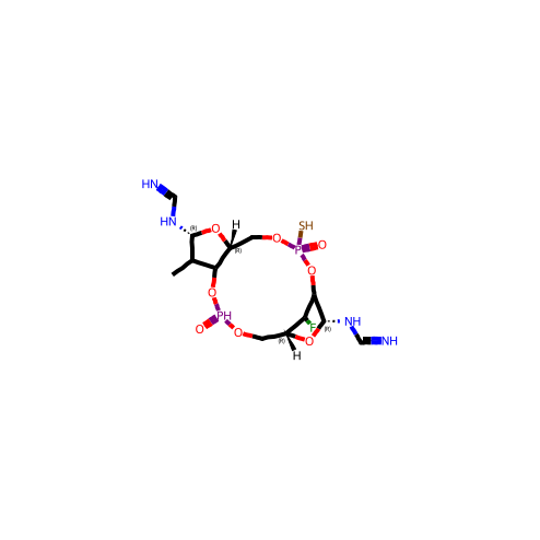 CC1C2O[PH](=O)OC[C@H]3O[C@@H](NC=N)C(OP(=O)(S)OC[C@H]2O[C@H]1NC=N)C3F